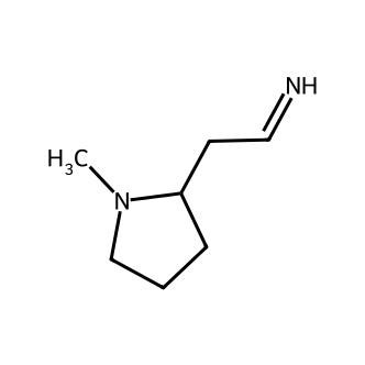 CN1CCCC1CC=N